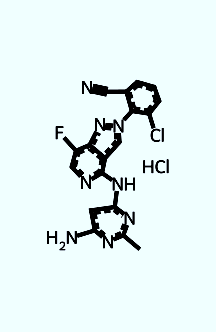 Cc1nc(N)cc(Nc2ncc(F)c3nn(-c4c(Cl)cccc4C#N)cc23)n1.Cl